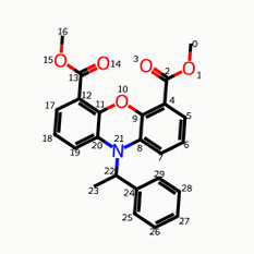 COC(=O)c1cccc2c1Oc1c(C(=O)OC)cccc1N2C(C)c1ccccc1